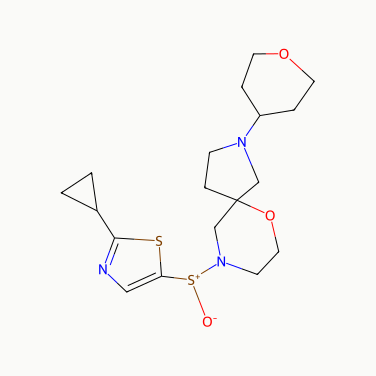 [O-][S+](c1cnc(C2CC2)s1)N1CCOC2(CCN(C3CCOCC3)C2)C1